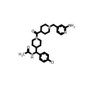 CC(=O)NC(c1ccc(Cl)cc1)C1CCN(C(=O)C2CCN(Cc3ccnc(N)c3)CC2)CC1